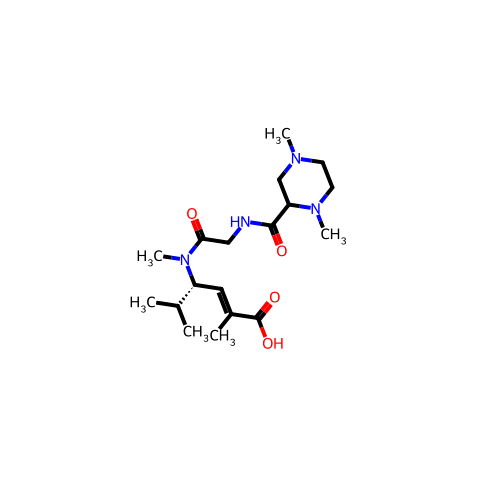 C/C(=C\[C@H](C(C)C)N(C)C(=O)CNC(=O)C1CN(C)CCN1C)C(=O)O